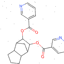 O=C(OC1C2CC(C3CCCC32)C1OC(=O)c1cccnc1)c1cccnc1